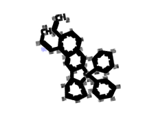 C=Cc1ccc2cc3c(cc2c1/C=C\C)-c1ccccc1[Si]3(c1ccccc1)c1ccccc1